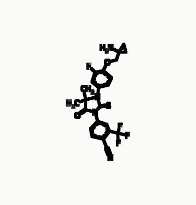 CC1(C)C(=O)N(c2ccc(C#N)c(C(F)(F)F)c2)C(=S)N1c1ccc(OCC2(N)CC2)c(F)c1